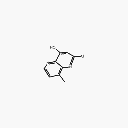 Cc1ccnc2c(O)cc(Cl)nc12